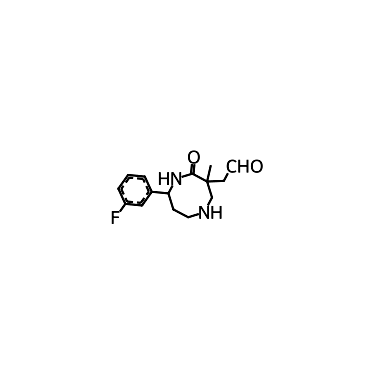 CC1(CC=O)CNCCC(c2cccc(F)c2)NC1=O